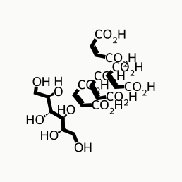 O=C(O)/C=C\C(=O)O.O=C(O)/C=C\C(=O)O.O=C(O)/C=C\C(=O)O.O=C(O)/C=C\C(=O)O.OC[C@@H](O)[C@@H](O)[C@H](O)[C@@H](O)CO